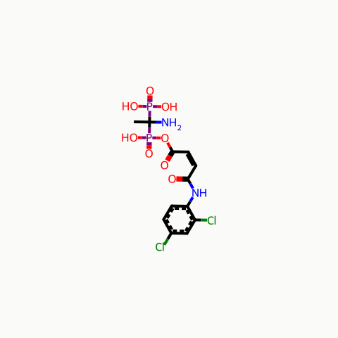 CC(N)(P(=O)(O)O)P(=O)(O)OC(=O)/C=C\C(=O)Nc1ccc(Cl)cc1Cl